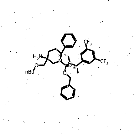 CCCCOCC1(N)CC[C@@](CO[C@H](C)c2cc(C(F)(F)F)cc(C(F)(F)F)c2)(c2ccccc2)N(C(=O)OCc2ccccc2)C1